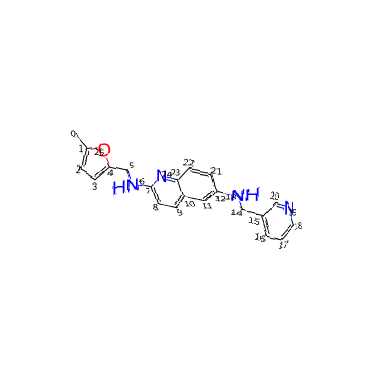 Cc1ccc(CNc2ccc3cc(NCc4cccnc4)ccc3n2)o1